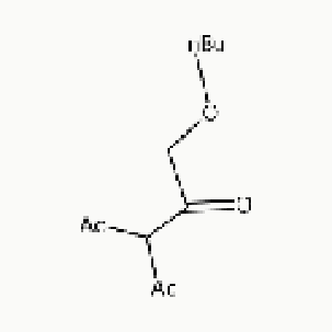 CCCCOCC(=O)C(C(C)=O)C(C)=O